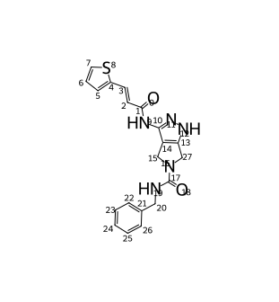 O=C(C=Cc1cccs1)Nc1n[nH]c2c1CN(C(=O)NCc1ccccc1)C2